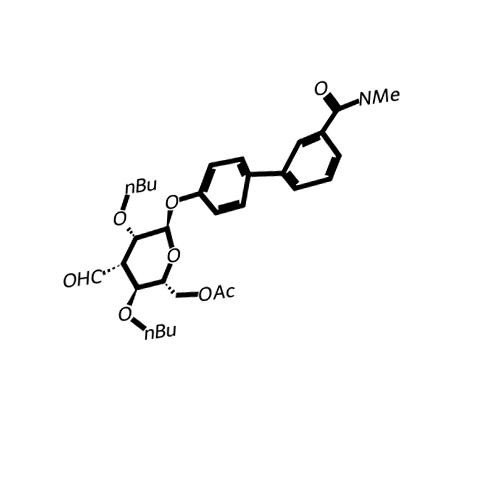 CCCCO[C@@H]1[C@@H](Oc2ccc(-c3cccc(C(=O)NC)c3)cc2)O[C@H](COC(C)=O)[C@@H](OCCCC)[C@@H]1C=O